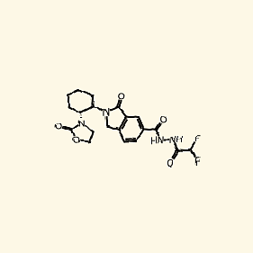 O=C(NNC(=O)C(F)F)c1ccc2c(c1)C(=O)N([C@@H]1CCCC[C@H]1N1CCOC1=O)C2